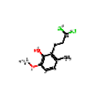 Cc1ccc(OC(=O)O)c(O)c1CCC(Cl)Cl